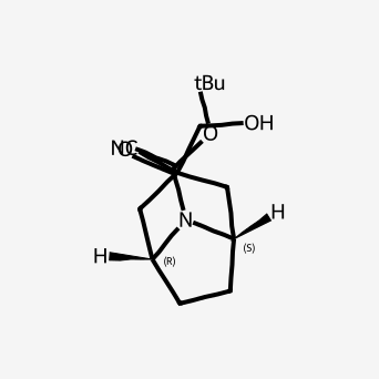 CC(C)(C)OC(=O)N1[C@@H]2CC[C@H]1CC(C#N)(CO)C2